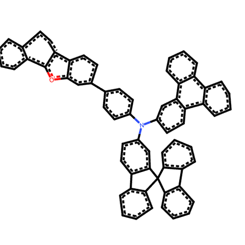 c1ccc2c(c1)-c1ccccc1C21c2ccccc2-c2ccc(N(c3ccc(-c4ccc5c(c4)oc4c6ccccc6ccc54)cc3)c3ccc4c5ccccc5c5ccccc5c4c3)cc21